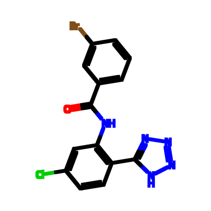 O=C(Nc1cc(Cl)ccc1-c1nnn[nH]1)c1cccc(Br)c1